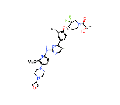 COc1nc(Nc2ncc(F)c(-c3ccc(O[C@H]4CCN(C(=O)[C@H](C)O)CC4(F)F)c(C#N)c3)n2)ccc1N1CCN(C2COC2)CC1